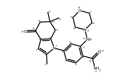 Cc1cc2c(n1-c1ccc(C(N)=O)c(NN3CCOCC3)c1)CC(C)(C)CC2=O